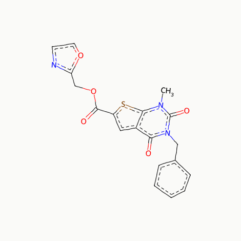 Cn1c(=O)n(Cc2ccccc2)c(=O)c2cc(C(=O)OCc3ncco3)sc21